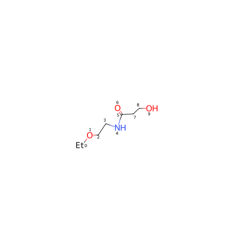 CCOCCNC(=O)CCO